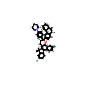 CC1(C)c2cc(F)ccc2-c2c1c1c(c3cc(F)ccc23)OC(c2ccc(N3CCCCC3)cc2)(c2ccc3c(c2)C2C=CC=CC2C=C3)C=C1